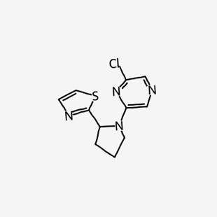 Clc1cncc(N2CCCC2c2nccs2)n1